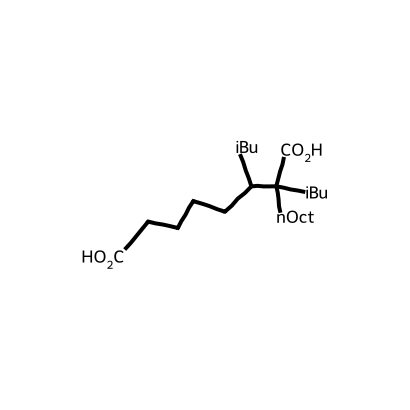 CCCCCCCCC(C(=O)O)(C(C)CC)C(CCCCC(=O)O)C(C)CC